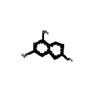 Cc1cc2cc(N)ccc2c(C)n1